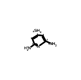 Nc1cccc(N)n1.[SiH4]